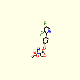 O=S(=O)(N[C@H]1CCOC[C@@H]1COc1ccc(-c2ncc(F)cc2F)cc1)C1CC1